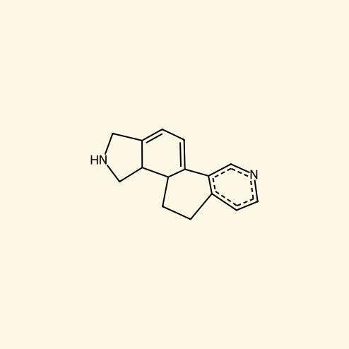 C1=C2CNCC2C2CCc3ccncc3C2=C1